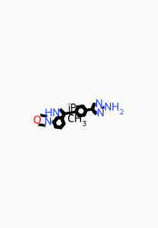 CC(C)C(C)(c1ccc(-c2cnc(N)nc2)cc1)c1c[nH]c2c(N3CCOCC3)cccc12